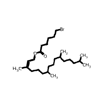 CC(=CCOC(=O)CCCCCBr)CCCC(C)CCCC(C)CCCC(C)C